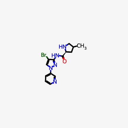 CC1CN[C@H](C(=O)Nc2nn(-c3cccnc3)cc2Br)C1